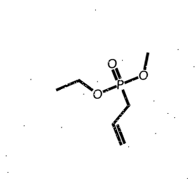 C=CCP(=O)(OC)OCC